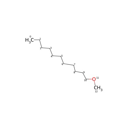 CCCCCCCCCCCOC